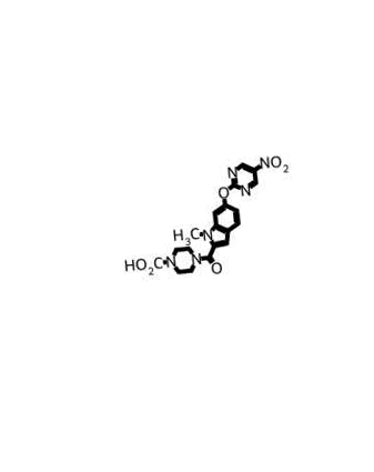 Cn1c(C(=O)N2CCN(C(=O)O)CC2)cc2ccc(Oc3ncc([N+](=O)[O-])cn3)cc21